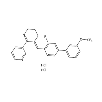 Cl.Cl.Fc1cc(-c2cccc(OC(F)(F)F)c2)ccc1/C=C1\CCCN=C1c1cccnc1